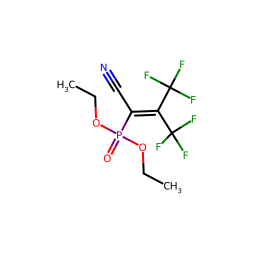 CCOP(=O)(OCC)C(C#N)=C(C(F)(F)F)C(F)(F)F